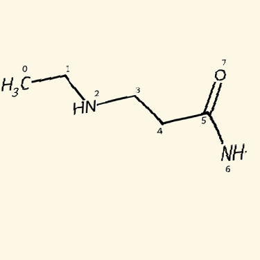 CCNCCC([NH])=O